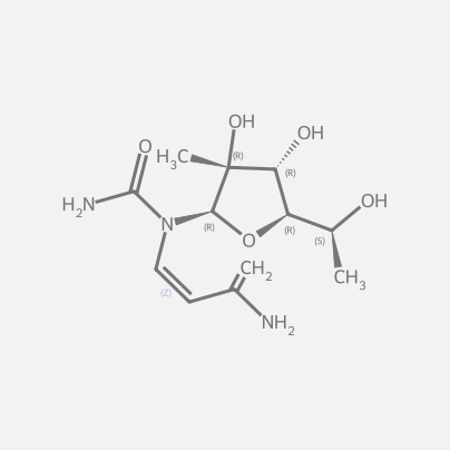 C=C(N)/C=C\N(C(N)=O)[C@@H]1O[C@H]([C@H](C)O)[C@@H](O)[C@@]1(C)O